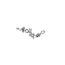 NS(=O)(=O)c1ccc(Nc2ncc(F)c(-c3cn(C4CCCC4)nn3)n2)cc1